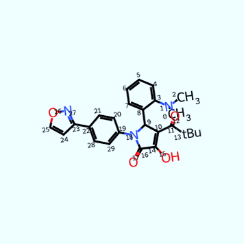 CN(C)c1ccccc1C1C(C(=O)C(C)(C)C)=C(O)C(=O)N1c1ccc(-c2ccon2)cc1